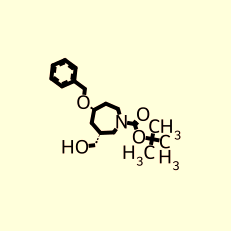 CC(C)(C)OC(=O)N1CC[C@@H](OCc2ccccc2)C[C@@H](CO)C1